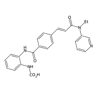 CCN(C(=O)C=Cc1ccc(C(=O)Nc2ccccc2NC(=O)O)cc1)c1cccnc1